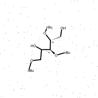 CCCCOCC(O)[C@H](OCCCC)[C@@H](CO)OCCCC